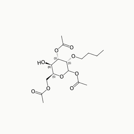 CCCCO[C@@H]1C(OC(C)=O)O[C@@H](COC(C)=O)[C@@H](O)[C@@H]1OC(C)=O